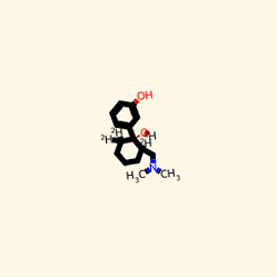 [2H]O[C@@]1(c2cccc(O)c2)C([2H])([2H])CCC[C@@]1([2H])CN(C)C